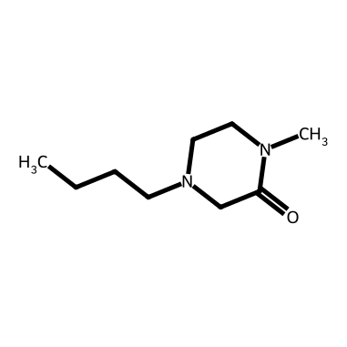 CCCCN1CCN(C)C(=O)C1